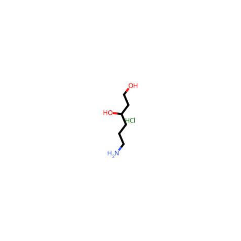 Cl.NCCCC(O)CCO